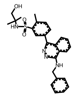 Cc1ccc(-c2nnc(NCc3ccccc3)c3ccccc23)cc1S(=O)(=O)NC(C)(C)CO